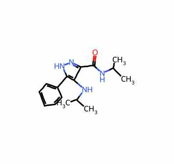 CC(C)NC(=O)c1n[nH]c(-c2ccccc2)c1NC(C)C